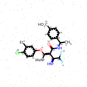 CCc1cc(O/C(NC)=C(/C(=N)C(F)F)C(=O)NC(C)c2ccc(C(=O)O)cc2)ccc1Cl